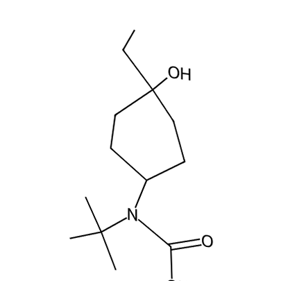 CCC1(O)CCC(N(C(=O)O)C(C)(C)C)CC1